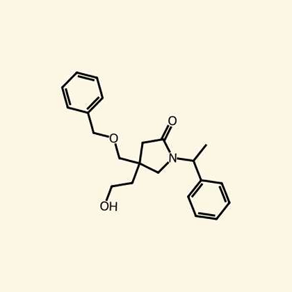 CC(c1ccccc1)N1CC(CCO)(COCc2ccccc2)CC1=O